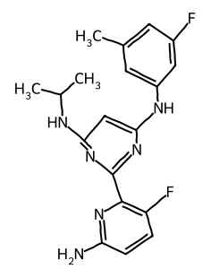 Cc1cc(F)cc(Nc2cc(NC(C)C)nc(-c3nc(N)ccc3F)n2)c1